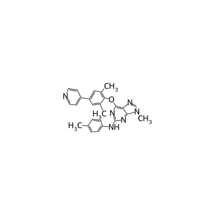 Cc1ccc(Nc2nc(Oc3c(C)cc(-c4ccncc4)cc3C)c3ncn(C)c3n2)cc1